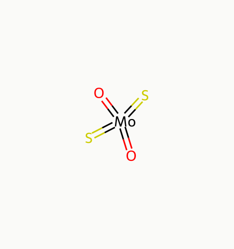 [O]=[Mo](=[O])(=[S])=[S]